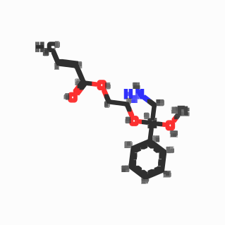 CC=CC(=O)OCCO[Si](CN)(OCC)c1ccccc1